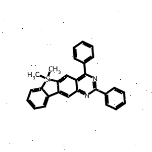 C[Si]1(C)c2ccccc2-c2cc3nc(-c4ccccc4)nc(-c4ccccc4)c3cc21